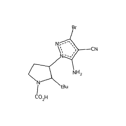 CC(C)(C)C1C(n2nc(Br)c(C#N)c2N)CCN1C(=O)O